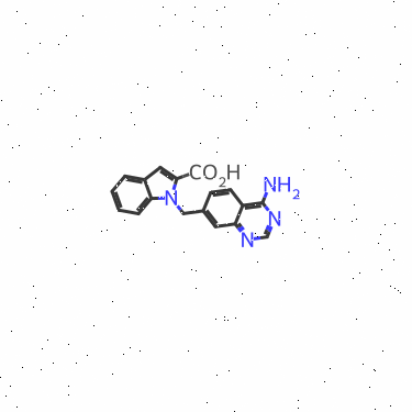 Nc1ncnc2cc(Cn3c(C(=O)O)cc4ccccc43)ccc12